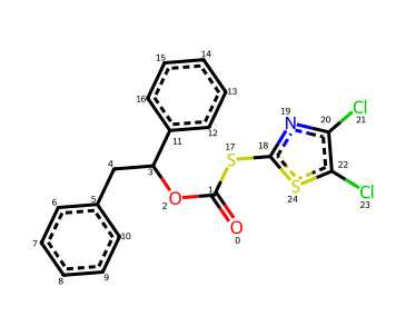 O=C(OC(Cc1ccccc1)c1ccccc1)Sc1nc(Cl)c(Cl)s1